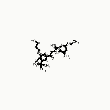 CCOc1cc(C)c2nn(CC(=O)c3cc(OCCCO)c(OC)c(C(C)(C)C)c3)c(=N)n2n1